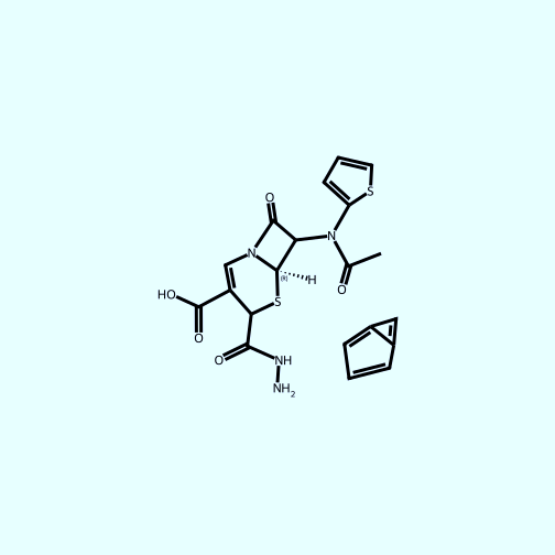 CC(=O)N(c1cccs1)C1C(=O)N2C=C(C(=O)O)C(C(=O)NN)S[C@H]12.c1cc2cc-2c1